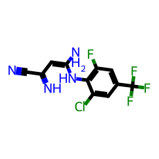 N#CC(=N)/C=C(/N)Nc1c(F)cc(C(F)(F)F)cc1Cl